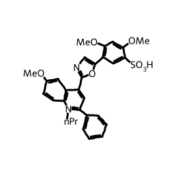 CCC[n+]1c(-c2ccccc2)cc(-c2ncc(-c3cc(S(=O)(=O)O)c(OC)cc3OC)o2)c2cc(OC)ccc21